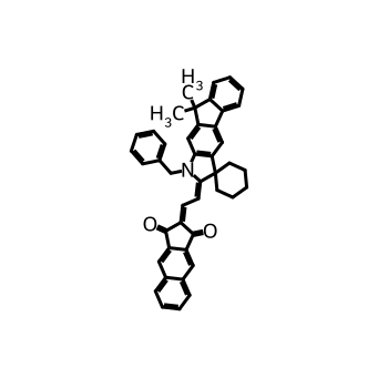 CC1(C)c2ccccc2-c2cc3c(cc21)N(Cc1ccccc1)/C(=C\C=C1C(=O)c2cc4ccccc4cc2C1=O)C31CCCCC1